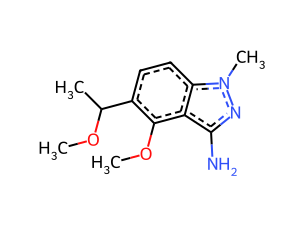 COc1c(C(C)OC)ccc2c1c(N)nn2C